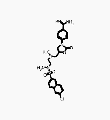 CN(CCN(C)S(=O)(=O)c1ccc2cc(Cl)ccc2c1)CC1CN(c2ccc(C(=N)N)cc2)C(=O)O1